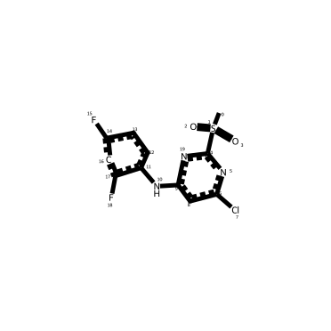 CS(=O)(=O)c1nc(Cl)cc(Nc2ccc(F)cc2F)n1